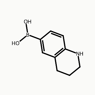 OB(O)c1ccc2c(c1)CCCN2